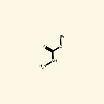 CC(C)OC(=S)NN